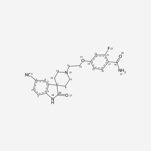 N#Cc1ccc2c(c1)C1(CCN(CCOc3ccc(C(N)=O)c(F)c3)CC1)C(=O)N2